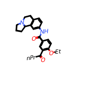 CCCC(=O)c1cc(C(=O)Nc2ccc3c(c2)C2CCCN2CC3)ccc1OCC